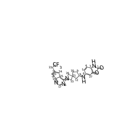 O=c1[nH]c2ccc(N[C@@H]3CCC4(C3)CN(c3ncnc5sc(CC(F)(F)F)cc35)C4)cc2o1